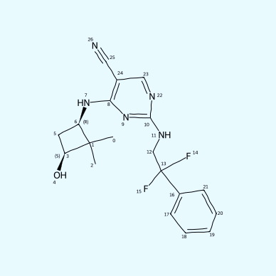 CC1(C)[C@@H](O)C[C@H]1Nc1nc(NCC(F)(F)c2ccccc2)ncc1C#N